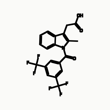 Cc1c(CC(=O)O)c2ccccc2n1C(=O)c1cc(C(F)(F)F)cc(C(F)(F)F)c1